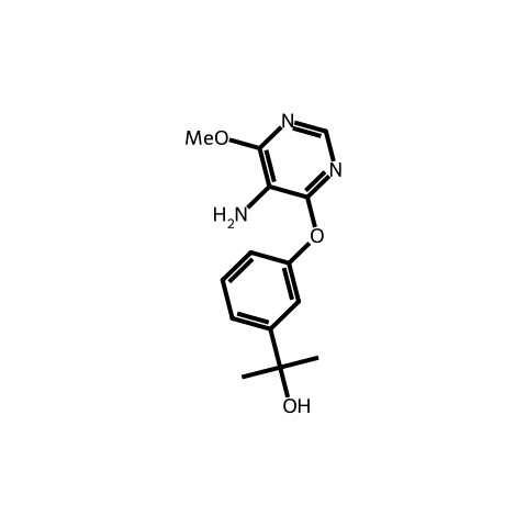 COc1ncnc(Oc2cccc(C(C)(C)O)c2)c1N